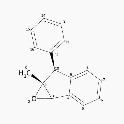 C[C@]12OC1c1ccccc1[C@@H]2c1ccccc1